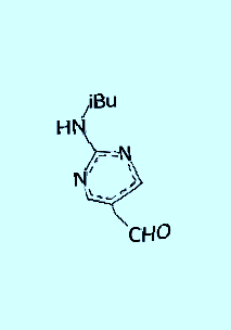 CCC(C)Nc1ncc(C=O)cn1